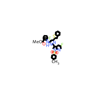 COC(=O)C1C2CCC(CC2)C1Nc1nc(-c2cn(S(=O)(=O)c3ccc(C)cc3)c3ncc(F)cc23)nc(-c2cc3ccccc3s2)c1F